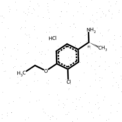 CCOc1ccc([C@@H](C)N)cc1Cl.Cl